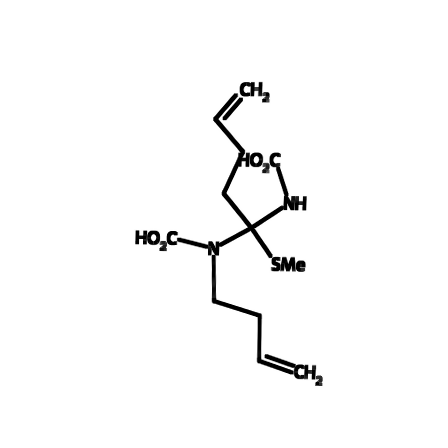 C=CCCN(C(=O)O)C(CCC=C)(NC(=O)O)SC